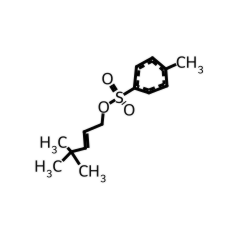 Cc1ccc(S(=O)(=O)OCC=CC(C)(C)C)cc1